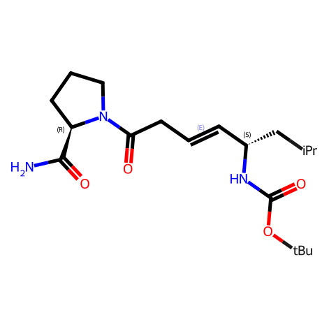 CC(C)C[C@@H](/C=C/CC(=O)N1CCC[C@@H]1C(N)=O)NC(=O)OC(C)(C)C